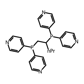 CCCC(CP(c1ccncc1)c1ccncc1)P(c1ccncc1)c1ccncc1